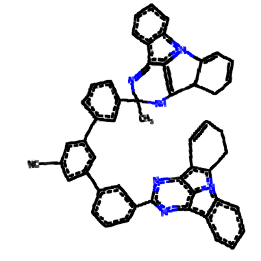 CC1(c2cccc(-c3cc(C#N)cc(-c4cccc(-c5nc6c7c(n8c9ccccc9c(n5)c68)CCC=C7)c4)c3)c2)N=c2c3n(c4ccccc24)C2=CC=CCC2C=3N1